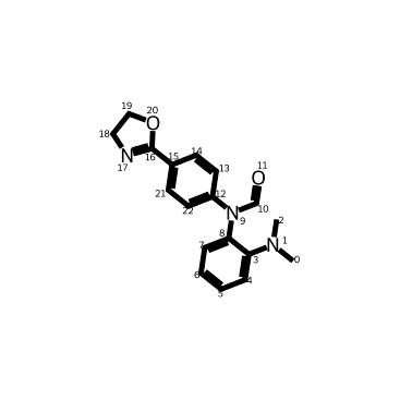 CN(C)c1ccccc1N(C=O)c1ccc(C2=NCCO2)cc1